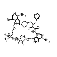 C[Si](C)(C)CCOCn1ncc2c(N)ncc(Br)c21.C[Si](C)(C)CCOCn1ncc2c(N)ncc(NC(=O)C(=O)N(Cc3ccccc3)CC3CCCCC3)c21